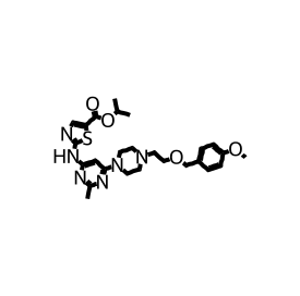 COc1ccc(COCCN2CCN(c3cc(Nc4ncc(C(=O)OC(C)C)s4)nc(C)n3)CC2)cc1